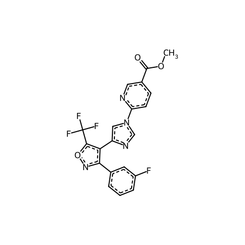 COC(=O)c1ccc(-n2cnc(-c3c(-c4cccc(F)c4)noc3C(F)(F)F)c2)nc1